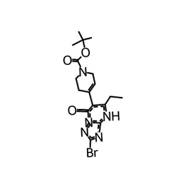 CCc1[nH]c2nc(Br)nn2c(=O)c1C1=CCN(C(=O)OC(C)(C)C)CC1